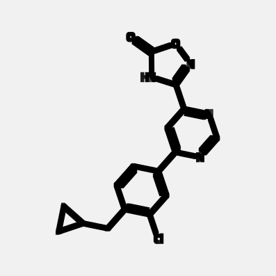 O=c1[nH]c(-c2cc(-c3ccc(CC4CC4)c(Cl)c3)ncn2)no1